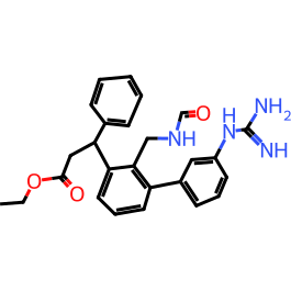 CCOC(=O)CC(c1ccccc1)c1cccc(-c2cccc(NC(=N)N)c2)c1CNC=O